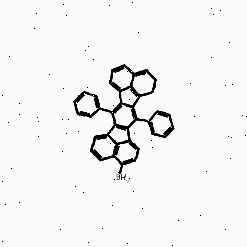 Bc1ccc2c3c(-c4ccccc4)c4c5c6c(cccc6c4c(-c4ccccc4)c3c3cccc1c23)=CCC5